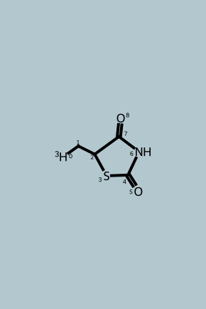 [3H]CC1SC(=O)NC1=O